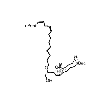 CCCCC/C=C\C/C=C\CCCCCCCCO[C@@H](CO)[C@@H](/C=C\CCCCCCCCCCCCCC)OP(=O)(O)OCCN